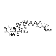 CCCCN1C(=O)[C@@H]([C@H](O)C2CCCCC2)NC(=O)C12CCN(C/C=C/COc1ccc(C(=O)NC)cc1)CC2.Cl